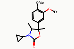 CCOc1cc(C2(C)OC(=O)N(C3CC3)C2C)ccc1OC